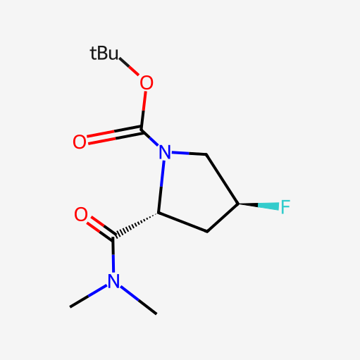 CN(C)C(=O)[C@H]1C[C@H](F)CN1C(=O)OC(C)(C)C